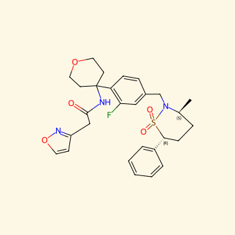 C[C@H]1CC[C@H](c2ccccc2)S(=O)(=O)N1Cc1ccc(C2(NC(=O)Cc3ccon3)CCOCC2)c(F)c1